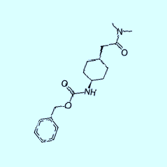 CN(C)C(=O)C[C@H]1CC[C@@H](NC(=O)OCc2ccccc2)CC1